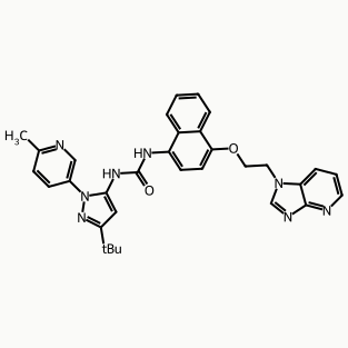 Cc1ccc(-n2nc(C(C)(C)C)cc2NC(=O)Nc2ccc(OCCn3cnc4ncccc43)c3ccccc23)cn1